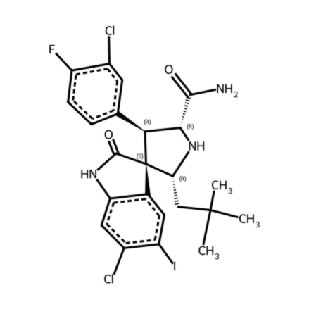 CC(C)(C)C[C@H]1N[C@@H](C(N)=O)[C@H](c2ccc(F)c(Cl)c2)[C@@]12C(=O)Nc1cc(Cl)c(I)cc12